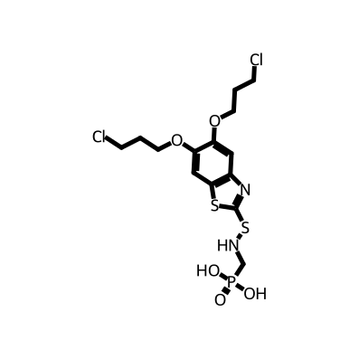 O=P(O)(O)CNSc1nc2cc(OCCCCl)c(OCCCCl)cc2s1